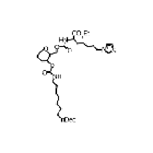 CCCCCCCCCCCCCCCCCNC(=O)OC1CCCOC1COC(=O)NC(CCCCC[n+]1ccsc1)C(=O)OCC